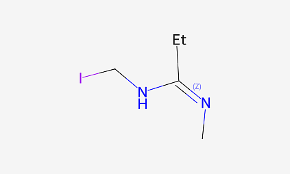 CC/C(=N/C)NCI